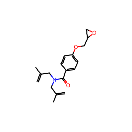 C=C(C)CN(CC(=C)C)C(=O)c1ccc(OCC2CO2)cc1